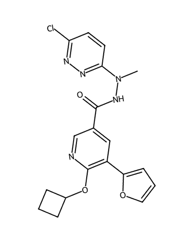 CN(NC(=O)c1cnc(OC2CCC2)c(-c2ccco2)c1)c1ccc(Cl)nn1